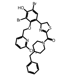 Cc1cccc(COc2c(C3CSC(C(=O)N4CCC(Cc5ccccc5)CC4)=N3)cc(Br)c(O)c2Br)n1